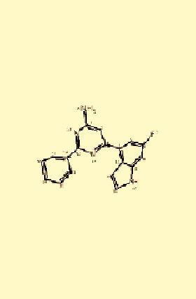 Nc1cc(-c2cc(F)cc3[nH]ccc23)nc(-c2ccccc2)n1